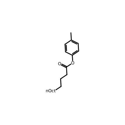 CCCCCCCCCCCC(=O)Oc1ccc(C)cc1